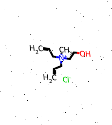 C=CC[N+](C)(CC=C)CCO.[Cl-]